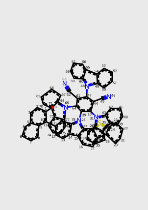 Cc1ccc2ccccc2c1-c1ccc2c3ccc4c5ccccc5sc4c3n(-c3c(-n4c5ccccc5c5ccccc54)c(C#N)c(-n4c5ccccc5c5ccccc54)c(C#N)c3-n3c4ccccc4c4ccccc43)c2c1